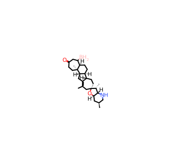 BC1CC(=O)CC[C@@]2(C)[C@@H]1CC[C@H]1[C@@H]3CC[C@@]4(CC(C)=C3C[C@@H]12)O[C@@H]1C[C@H](C)CN[C@H]1[C@H]4C